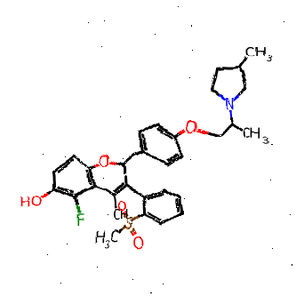 CC1=C(c2ccccc2S(C)(=O)=O)C(c2ccc(OCC(C)N3CCC(C)C3)cc2)Oc2ccc(O)c(F)c21